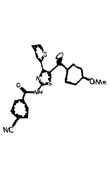 COC1CCC(C(=O)c2sc(NC(=O)c3ccc(C#N)cc3)nc2-c2ccco2)CC1